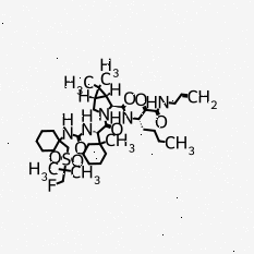 C=CCNC(=O)C(=O)[C@H](CCCC)NC(=O)[C@@H]1[C@@H]2[C@H](CN1C(=O)[C@@H](NC(=O)NC1(CS(=O)(=O)C(C)(C)CF)CCCCC1)C1(C)CCCCC1)C2(C)C